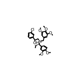 C[CH][C@H](c1ccc(OC)c(OC)c1)N(Cc1cc(OC)c(OC)c(OC)c1)CC(O)c1cccc(Cl)c1